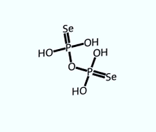 OP(O)(=[Se])OP(O)(O)=[Se]